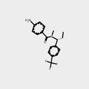 CC[C@H](c1ccc(C(F)(F)F)cc1)N(C)C(=O)c1ccc(N)cc1